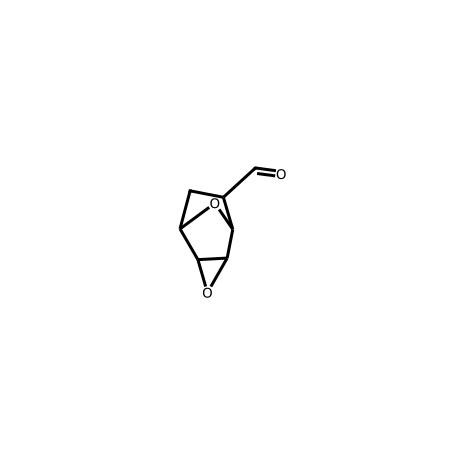 O=CC1CC2OC1C1OC21